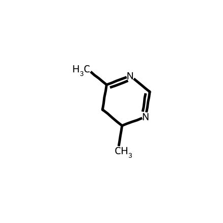 CC1=NC=NC(C)C1